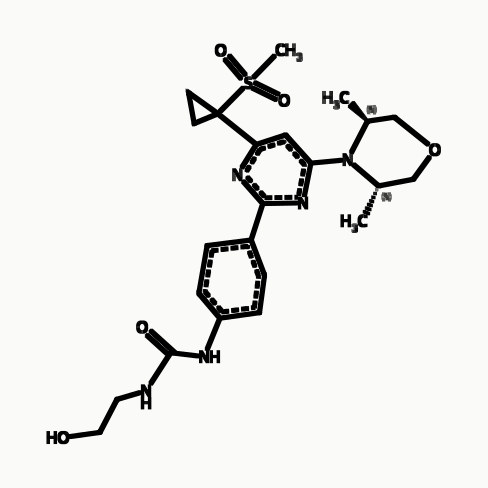 C[C@H]1COC[C@H](C)N1c1cc(C2(S(C)(=O)=O)CC2)nc(-c2ccc(NC(=O)NCCO)cc2)n1